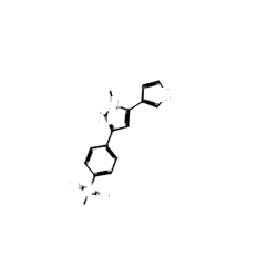 Cn1nc(-c2ccc(S(C)(=O)=O)cc2)cc1-c1ccsc1